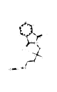 [N-]=[N+]=NCCC(F)(F)CN1C(=O)c2ccccc2C1=O